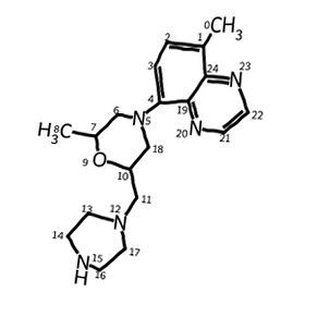 Cc1ccc(N2CC(C)OC(CN3CCNCC3)C2)c2nccnc12